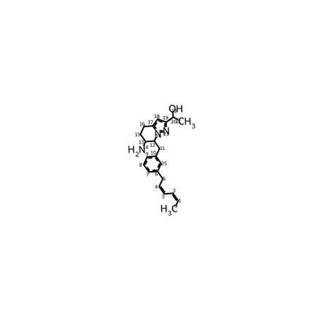 C/C=C\C=C/Cc1cccc(CC2C(N)CCc3cc(C(C)O)nn32)c1